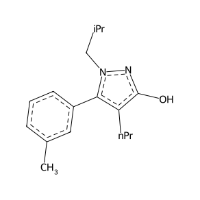 CCCc1c(O)nn(CC(C)C)c1-c1cccc(C)c1